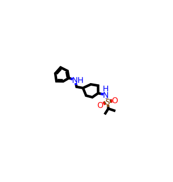 CC(C)S(=O)(=O)NC1CCC(CNc2ccccc2)CC1